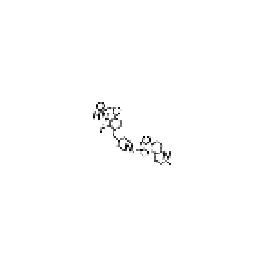 Cc1ccc2c3c(ccc2n1)OC[C@H](CN1CCC(Cc2ccc4c(c2F)NC(=O)CO4)CC1)O3